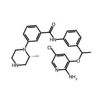 CC(Oc1cc(Cl)cnc1N)c1cccc(NC(=O)c2cccc(N3CCNC[C@H]3C)c2)c1